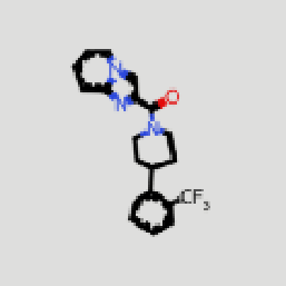 O=C(c1cn2ccccc2n1)N1CCC(c2ccccc2C(F)(F)F)CC1